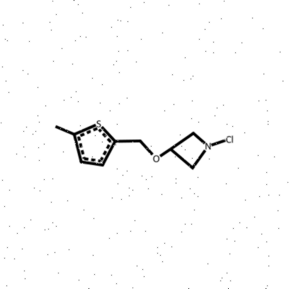 Cc1ccc(COC2CN(Cl)C2)s1